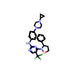 FC(F)(F)c1cnc(Nc2ccc(N3CCN(C4CC4)CC3)cc2)nc1N1OCCC1c1ccccc1